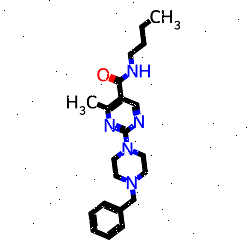 CCCCNC(=O)c1cnc(N2CCN(Cc3ccccc3)CC2)nc1C